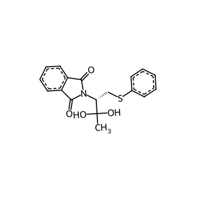 CC(O)(O)[C@@H](CSc1ccccc1)N1C(=O)c2ccccc2C1=O